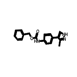 Cc1n[nH]cc1-c1ccc(NC(=O)OCc2ccccc2)cc1